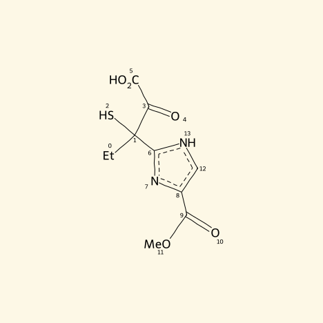 CCC(S)(C(=O)C(=O)O)c1nc(C(=O)OC)c[nH]1